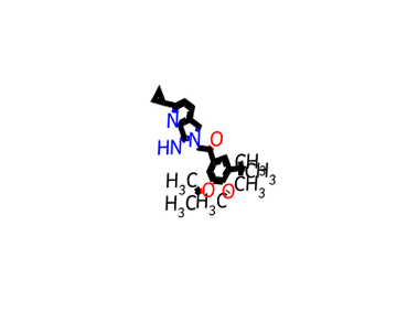 COc1c(OC(C)C)cc(C(=O)CN2Cc3ccc(C4CC4)nc3C2=N)cc1C(C)(C)C